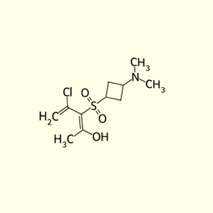 C=C(Cl)/C(=C(\C)O)S(=O)(=O)C1CC(N(C)C)C1